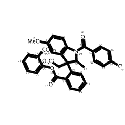 COc1ccc2c(c1)C(CC(=O)O)(c1ccccc1C(=O)Oc1ccccc1C(=O)O)C(C)N2C(=O)c1ccc(Cl)cc1